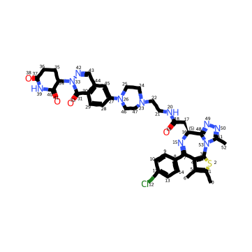 Cc1sc2c(c1C)C(c1ccc(Cl)cc1)=N[C@@H](CC(=O)NCCN1CCN(c3ccc4c(=O)n(C5CCC(=O)NC5=O)ncc4c3)CC1)c1nnc(C)n1-2